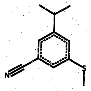 CSc1cc(C#N)cc([C](C)C)c1